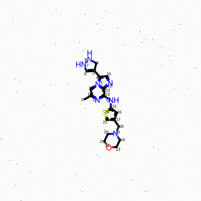 Cc1cn2c(C3=CNNC3)cnc2c(Nc2cc(CN3CCOCC3)cs2)n1